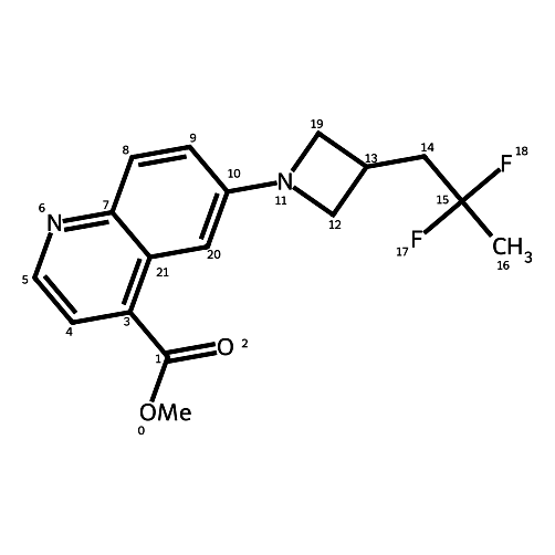 COC(=O)c1ccnc2ccc(N3CC(CC(C)(F)F)C3)cc12